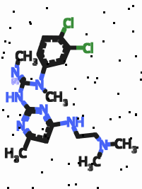 C/N=C(/Nc1nc(C)cc(NCCN(C)C)n1)N(C)c1ccc(Cl)c(Cl)c1